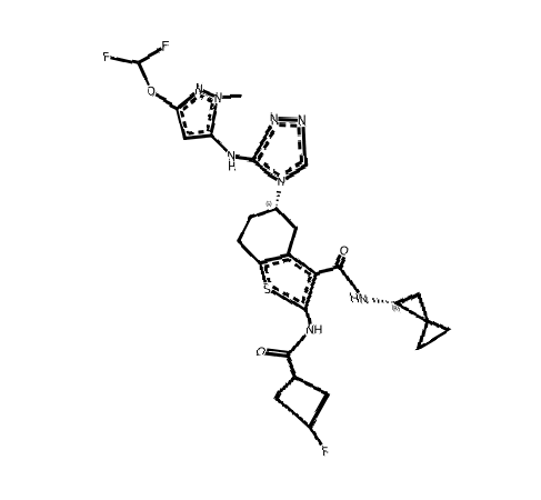 Cn1nc(OC(F)F)cc1Nc1nncn1[C@H]1CCc2sc(NC(=O)C3CC(F)C3)c(C(=O)N[C@@H]3CC34CC4)c2C1